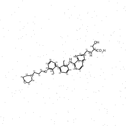 Cc1c(Nc2nccc3cc(CNC(CO)C(=O)O)cnc23)cccc1-c1cccc(OCCCN2CCOCC2)c1C